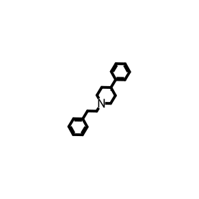 c1ccc(CCN2CC[C](c3ccccc3)CC2)cc1